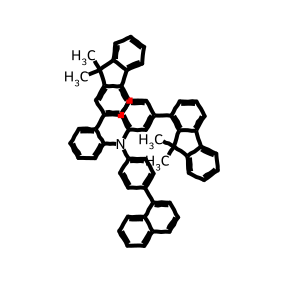 CC1(C)c2ccccc2-c2ccc(-c3ccccc3N(c3ccc(-c4cccc5ccccc45)cc3)c3cccc(-c4cccc5c4C(C)(C)c4ccccc4-5)c3)cc21